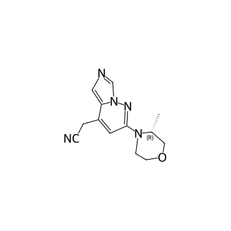 C[C@@H]1COCCN1c1cc(CC#N)c2cncn2n1